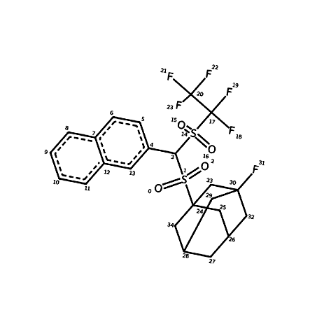 O=S(=O)(C(c1ccc2ccccc2c1)S(=O)(=O)C(F)(F)C(F)(F)F)C12CC3CC(CC(F)(C3)C1)C2